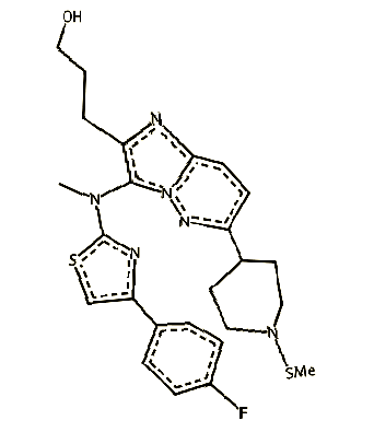 CSN1CCC(c2ccc3nc(CCCO)c(N(C)c4nc(-c5ccc(F)cc5)cs4)n3n2)CC1